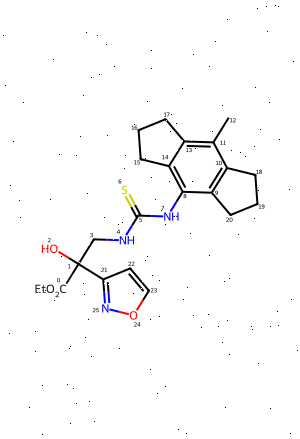 CCOC(=O)C(O)(CNC(=S)Nc1c2c(c(C)c3c1CCC3)CCC2)c1ccon1